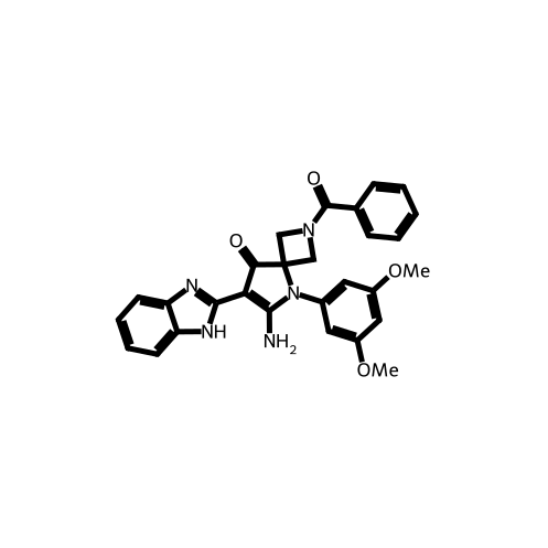 COc1cc(OC)cc(N2C(N)=C(c3nc4ccccc4[nH]3)C(=O)C23CN(C(=O)c2ccccc2)C3)c1